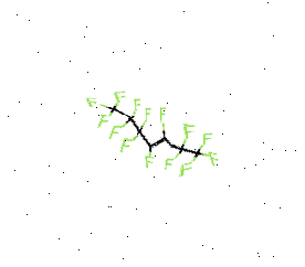 FC(C(F)C(F)(F)C(F)(F)C(F)(F)F)C(F)(F)C(F)(F)F